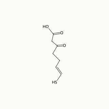 O=C(O)CC(=O)CCC=CS